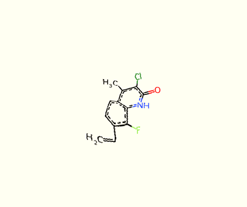 C=Cc1ccc2c(C)c(Cl)c(=O)[nH]c2c1F